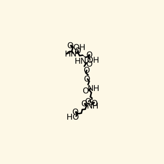 CCC(NC(=O)CC[C@H](NC(=O)COCCOCCNC(=O)CCCS(=O)(=O)NC(=O)CCCC(=O)O)C(=O)O)C(=O)O